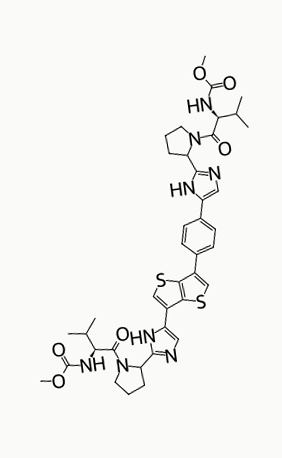 COC(=O)N[C@H](C(=O)N1CCCC1c1ncc(-c2ccc(-c3csc4c(-c5cnc(C6CCCN6C(=O)[C@@H](NC(=O)OC)C(C)C)[nH]5)csc34)cc2)[nH]1)C(C)C